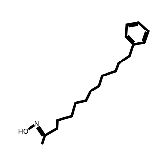 CC(CCCCCCCCCCCc1ccccc1)=NO